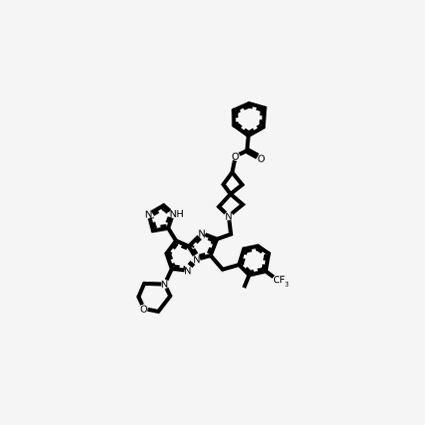 Cc1c(Cc2c(CN3CC4(CC(OC(=O)c5ccccc5)C4)C3)nc3c(-c4cnc[nH]4)cc(N4CCOCC4)nn23)cccc1C(F)(F)F